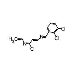 C=C\N=C(Cl)/C=C/N=C/c1cccc(Cl)c1Cl